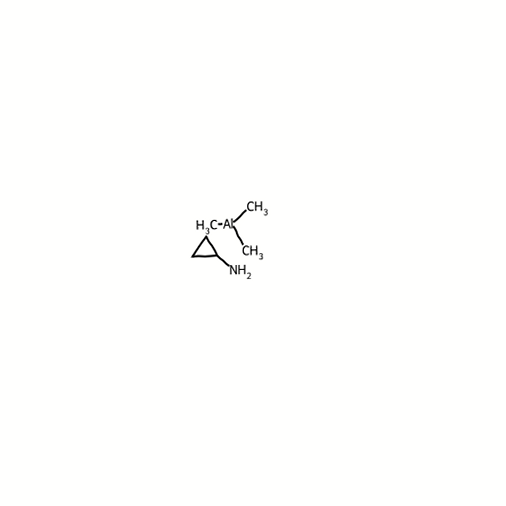 NC1CC1.[CH3][Al]([CH3])[CH3]